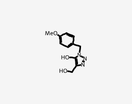 COc1ccc(Cn2nnc(CO)c2O)cc1